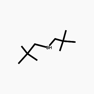 CC(C)(C)CBCC(C)(C)C